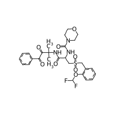 CC(C)(NC(=O)C(CS(=O)(=O)Cc1ccccc1OC(F)F)NC(=O)N1CCOCC1)C(=O)C(=O)c1ccccc1